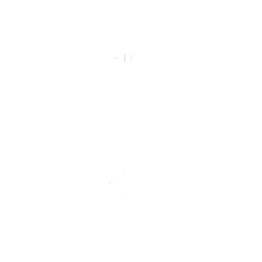 C=C(C)C(=O)OCC[CH]CCCCCCCCCCC